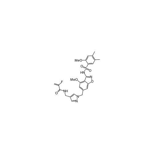 C=C(F)C(=O)NCc1cnn(Cc2cc(OC)c3c(NS(=O)(=O)c4cc(C)c(C)cc4OC)noc3c2)c1